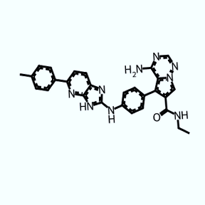 CCNC(=O)c1cn2ncnc(N)c2c1-c1ccc(Nc2nc3ccc(-c4ccc(C)cc4)nc3[nH]2)cc1